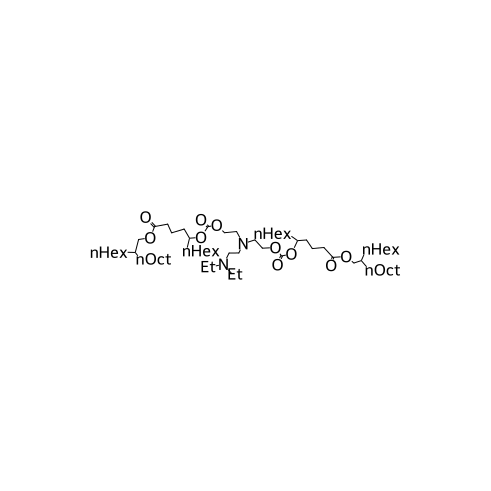 CCCCCCCCC(CCCCCC)COC(=O)CCCC(CCCCCC)OC(=O)OCCN(CCOC(=O)OC(CCCCCC)CCCC(=O)OCC(CCCCCC)CCCCCCCC)CCN(CC)CC